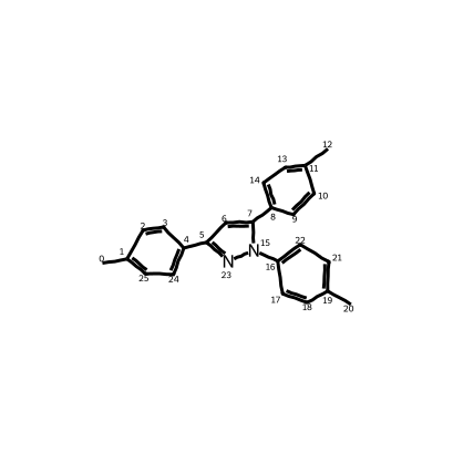 Cc1ccc(-c2cc(-c3ccc(C)cc3)n(-c3ccc(C)cc3)n2)cc1